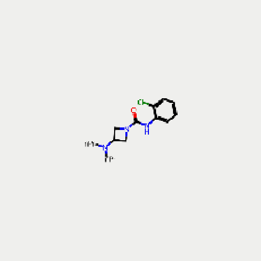 CCCN(CCC)C1CN(C(=O)Nc2ccccc2Cl)C1